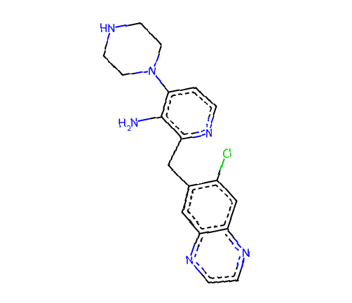 Nc1c(N2CCNCC2)ccnc1Cc1cc2nccnc2cc1Cl